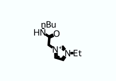 CCCCNC(=O)C[n+]1ccn(CC)c1